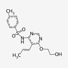 CC=Cc1c(NS(=O)(=O)c2ccc(C)cc2)ncnc1OCCO